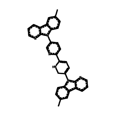 Cc1ccc2c(c1)c1cccnc1n2C1=CC=C(c2ccc(-n3c4ccc(C)cc4c4cccnc43)cn2)NC1